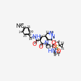 CC(C)NS(=O)(=O)C1(COc2nncc3cc(C(=O)NCc4ccc(C#N)cc4)c(=O)n(C)c23)CC1